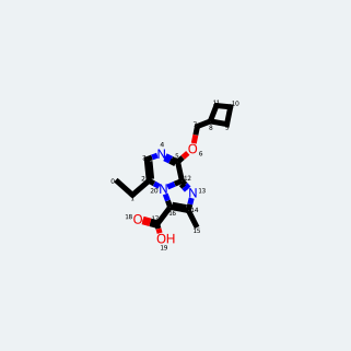 CCc1cnc(OCC2CCC2)c2nc(C)c(C(=O)O)n12